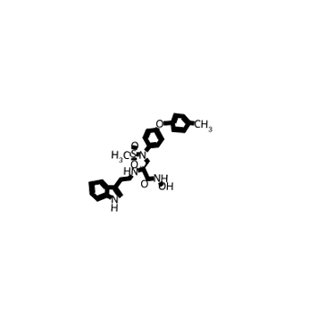 Cc1ccc(Oc2ccc(N(C[C@H](NCCc3c[nH]c4ccccc34)C(=O)NO)S(C)(=O)=O)cc2)cc1